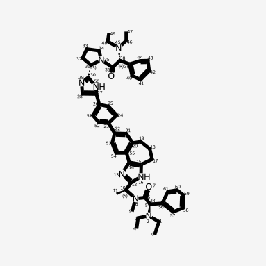 CCN(CC)[C@@H](C(=O)N(C)[C@@H](C)c1nc2c([nH]1)CCCc1cc(-c3ccc(-c4cnc([C@@H]5CCCN5C(=O)[C@@H](c5ccccc5)N(CC)CC)[nH]4)cc3)ccc1-2)c1ccccc1